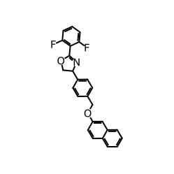 Fc1cccc(F)c1C1=NC(c2ccc(COc3ccc4ccccc4c3)cc2)CO1